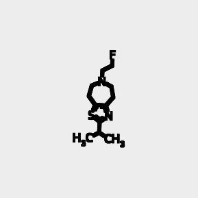 CC(C)c1nc2c(s1)CCN(CCF)CC2